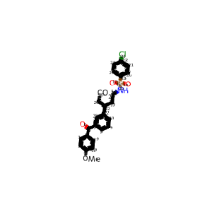 COc1ccc(C(=O)c2cccc(C(CCNS(=O)(=O)c3ccc(Cl)cc3)CC(=O)O)c2)cc1